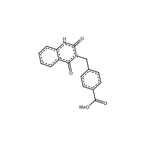 COC(=O)c1ccc(Cn2c(=O)[nH]c3ccccc3c2=O)cc1